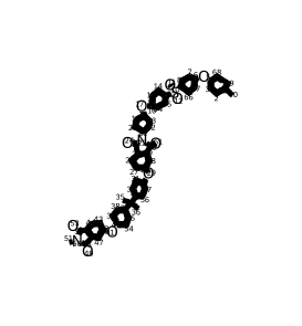 Cc1ccc(Oc2ccc(S(=O)(=O)c3ccc(Oc4ccc(N5C(=O)c6ccc(Oc7ccc(C(C)(C)c8ccc(Oc9ccc%10c(c9)C(=O)N(C)C%10=O)cc8)cc7)cc6C5=O)cc4)cc3)cc2)cc1